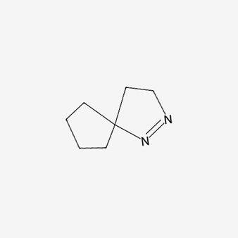 C1CCC2(C1)CCN=N2